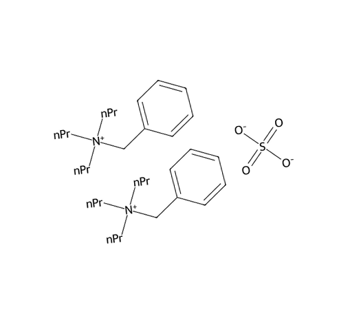 CCC[N+](CCC)(CCC)Cc1ccccc1.CCC[N+](CCC)(CCC)Cc1ccccc1.O=S(=O)([O-])[O-]